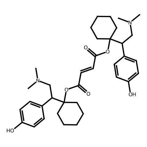 CN(C)CC(c1ccc(O)cc1)C1(OC(=O)/C=C/C(=O)OC2(C(CN(C)C)c3ccc(O)cc3)CCCCC2)CCCCC1